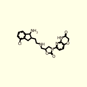 NC1c2cccc(Cl)c2CC1CCNCC1CN(c2ccc3c(n2)NC(=O)CO3)C(=O)O1